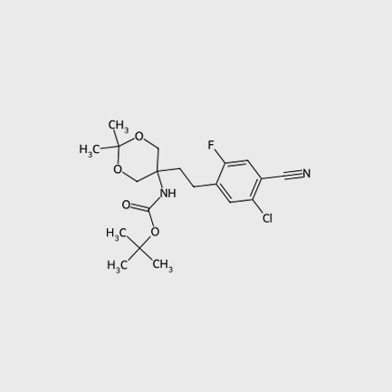 CC(C)(C)OC(=O)NC1(CCc2cc(Cl)c(C#N)cc2F)COC(C)(C)OC1